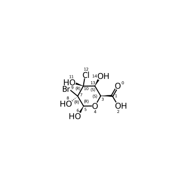 O=C(O)[C@H]1O[C@@H](O)[C@@](O)(Br)[C@](O)(Cl)[C@H]1O